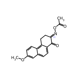 COc1ccc2c3c(ccc2c1)C(=O)/C(=N/OC(C)=O)CC3